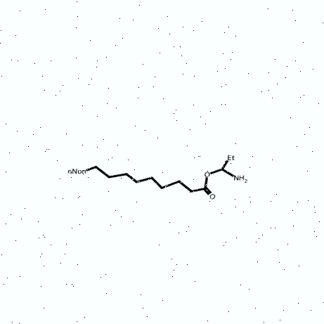 CCCCCCCCCCCCCCCCCC(=O)OC(N)CC